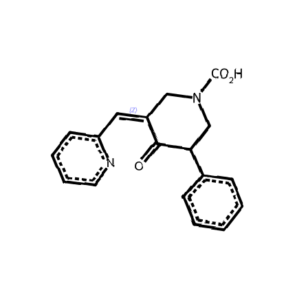 O=C1/C(=C\c2ccccn2)CN(C(=O)O)CC1c1ccccc1